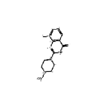 C[n+]1cccc2c(=O)[nH]c(N3CCN(C(=O)[O-])CC3)nc21